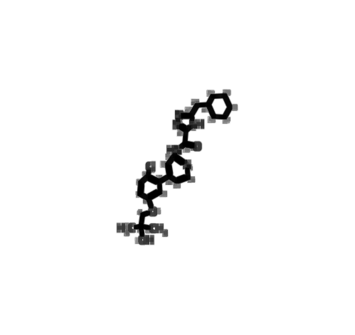 CC(C)(O)COc1ccc(Cl)c(-c2ccnc(NC(=O)c3nnc(CC4CCCCC4)[nH]3)c2)c1